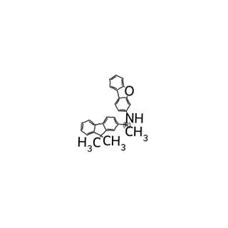 C[C@@H](Nc1ccc2c(c1)oc1ccccc12)c1ccc2c(c1)C(C)(C)c1ccccc1-2